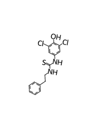 Oc1c(Cl)cc(NC(=S)NCCc2ccccc2)cc1Cl